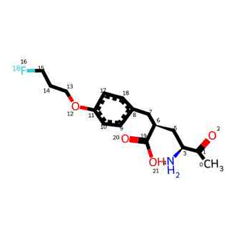 CC(=O)[C@@H](N)C[C@H](Cc1ccc(OCCC[18F])cc1)C(=O)O